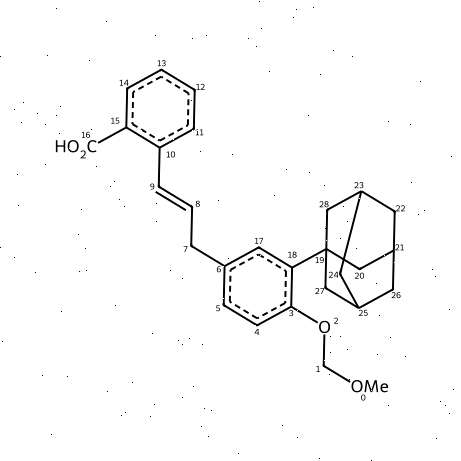 COCOc1ccc(CC=Cc2ccccc2C(=O)O)cc1C12CC3CC(CC(C3)C1)C2